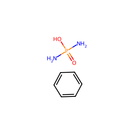 NP(N)(=O)O.c1ccccc1